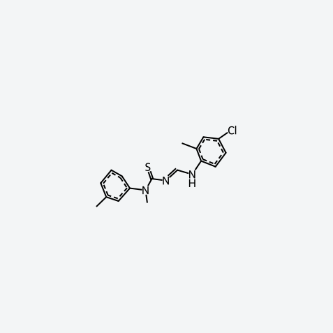 Cc1cccc(N(C)C(=S)N=CNc2ccc(Cl)cc2C)c1